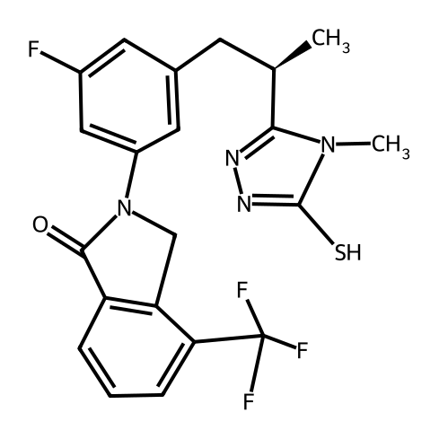 C[C@H](Cc1cc(F)cc(N2Cc3c(cccc3C(F)(F)F)C2=O)c1)c1nnc(S)n1C